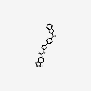 O=C(Nc1ncc(-c2cnc(NC3Cc4ccccc4C3)nc2)s1)[C@H]1CCc2[nH]nnc2C1